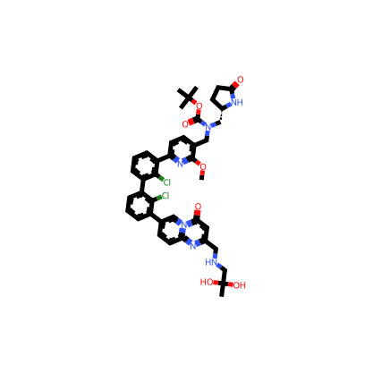 COc1nc(-c2cccc(-c3cccc(-c4ccc5nc(CNCC(C)(O)O)cc(=O)n5c4)c3Cl)c2Cl)ccc1CN(C[C@@H]1CCC(=O)N1)C(=O)OC(C)(C)C